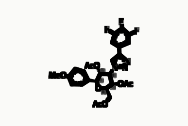 COc1ccc([C@@H]2O[C@H](COC(C)=O)[C@H](OC(C)=O)[C@H](n3cc(-c4cc(F)c(F)c(F)c4)nn3)[C@H]2OC(C)=O)cc1